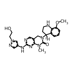 [2H]C1(N2Cc3cnc(Nc4cnn(CCO)c4)nc3N(C)C2=O)CCNc2c(OC)cccc21